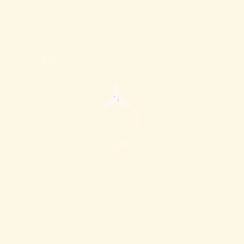 O=C(ON1CCC(O)[C@@H](F)C1)c1ccccc1